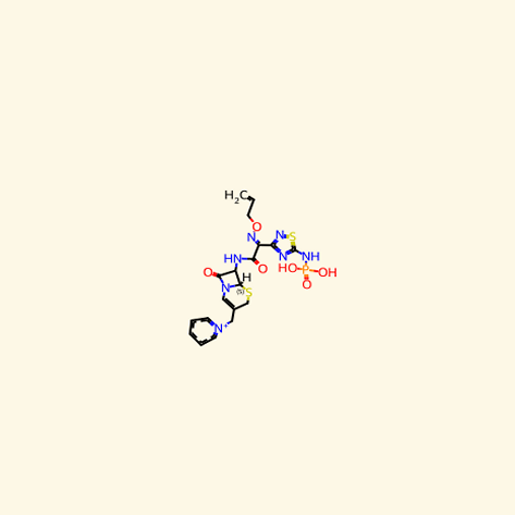 C=CCON=C(C(=O)NC1C(=O)N2C=C(C[n+]3ccccc3)CS[C@@H]12)c1nsc(NP(=O)(O)O)n1